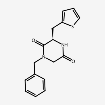 O=C1CN(Cc2ccccc2)C(=O)[C@@H](Cc2cccs2)N1